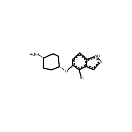 CCc1c(O[C@H]2CC[C@@H](NC(C)=O)CC2)ccc2[nH]ncc12